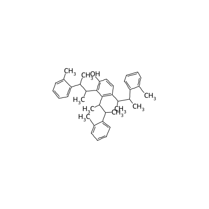 Cc1ccccc1C(C)C(C)c1ccc(O)c(C(C)C(C)c2ccccc2C)c1C(C)C(C)c1ccccc1C